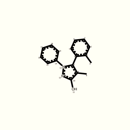 Cc1ccccc1-c1c(C)c(O)nn1-c1ccccc1